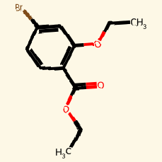 CCOC(=O)c1ccc(Br)cc1OCC